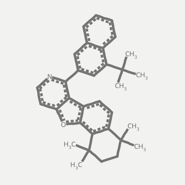 CC(C)(C)c1cc(-c2nccc3oc4c5c(ccc4c23)C(C)(C)CCC5(C)C)cc2ccccc12